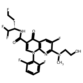 CN(CCO)c1nc2c(cc1F)c(=O)c(C(=O)N[C@@H](CCF)C(F)F)cn2-c1c(F)cccc1F